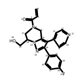 C=CC(=O)N1Cc2c(-c3ccncc3)c(-c3ccc(F)cc3)nn2C(CO)C1